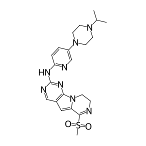 CC(C)N1CCN(c2ccc(Nc3ncc4cc5n(c4n3)CCN=C5S(C)(=O)=O)nc2)CC1